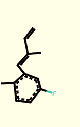 C=C/C(C)=C/c1cc(F)ccc1C